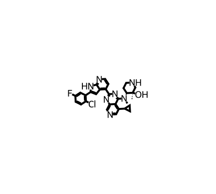 CN(c1nc(-c2ccnc3[nH]c(-c4cc(F)ccc4Cl)cc23)nc2cncc(C3CC3)c12)[C@@H]1CCNC[C@@]1(C)O